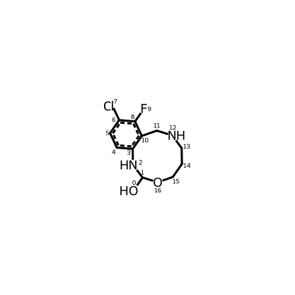 OC1Nc2ccc(Cl)c(F)c2CNCCCO1